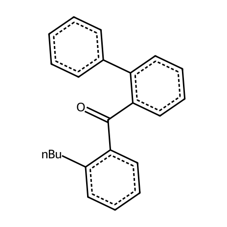 CCCCc1ccccc1C(=O)c1ccccc1-c1ccccc1